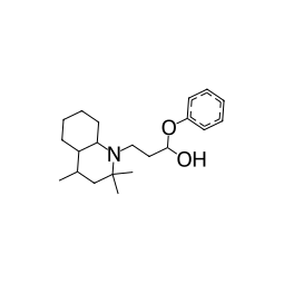 CC1CC(C)(C)N(CCC(O)Oc2ccccc2)C2CCCCC12